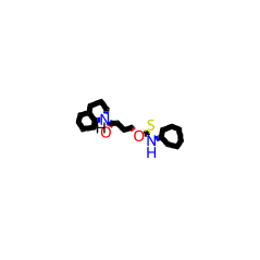 O=C(CCCOC(=S)NC1CCCCCC1)N1CCCC2CCCC[C@@H]21